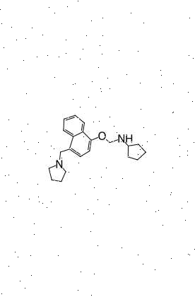 c1ccc2c(OCNC3CCCC3)ccc(CN3CCCC3)c2c1